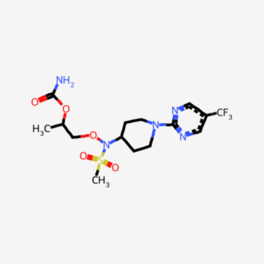 CC(CON(C1CCN(c2ncc(C(F)(F)F)cn2)CC1)S(C)(=O)=O)OC(N)=O